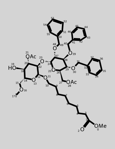 COC(=O)CCCCCCCCO[C@H]1O[C@H](COI)[C@@H](O)[C@H](OC(C)=O)[C@H]1O[C@H]1O[C@H](COC(C)=O)[C@@H](OCc2ccccc2)[C@H](OCc2ccccc2)[C@H]1OCc1ccccc1